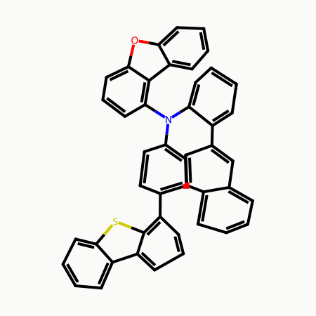 c1ccc(N(c2ccc(-c3cccc4c3sc3ccccc34)cc2)c2cccc3oc4ccccc4c23)c(-c2ccc3ccccc3c2)c1